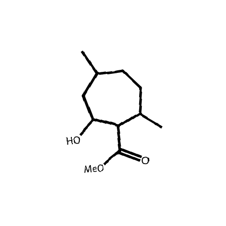 COC(=O)C1C(C)CCC(C)CC1O